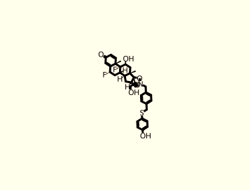 C[C@]12C=CC(=O)C=C1[C@@H](F)C[C@H]1[C@@H]3C[C@H]4CN(Cc5ccc(CSc6ccc(O)cc6)cc5)O[C@@]4(C(=O)CO)[C@@]3(C)C[C@H](O)[C@@]12F